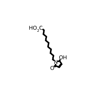 O=C(O)CCCCCCCCCCN1C(=O)C=CC1O